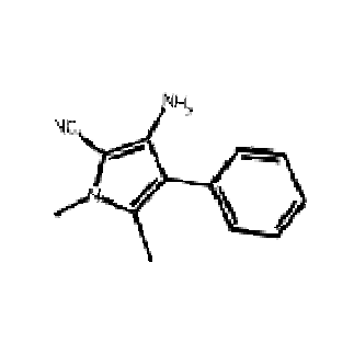 Cc1c(-c2ccccc2)c(N)c(C#N)n1C